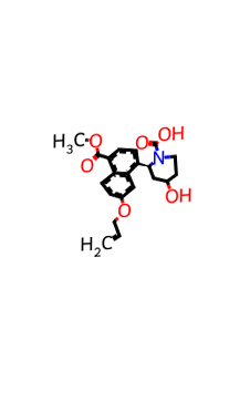 C=CCOc1ccc2c(C(=O)OC)ccc([C@@H]3CC(O)CCN3C(=O)O)c2c1